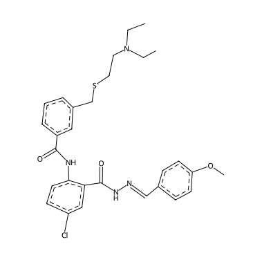 CCN(CC)CCSCc1cccc(C(=O)Nc2ccc(Cl)cc2C(=O)NN=Cc2ccc(OC)cc2)c1